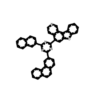 c1ccc2cc(-c3nc(-c4ccc5ccc6ccccc6c5c4)nc(-c4cc5oc6ccccc6c5c5cnccc45)n3)ccc2c1